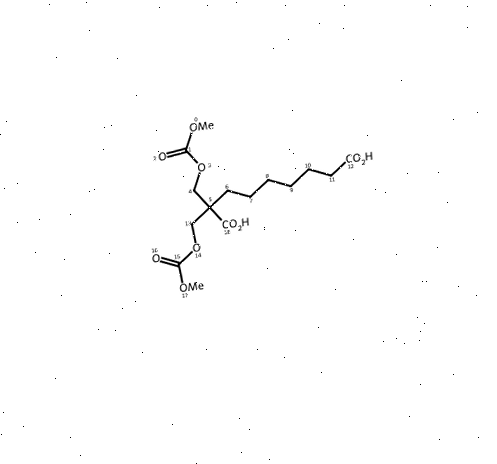 COC(=O)OCC(CCCCCCC(=O)O)(COC(=O)OC)C(=O)O